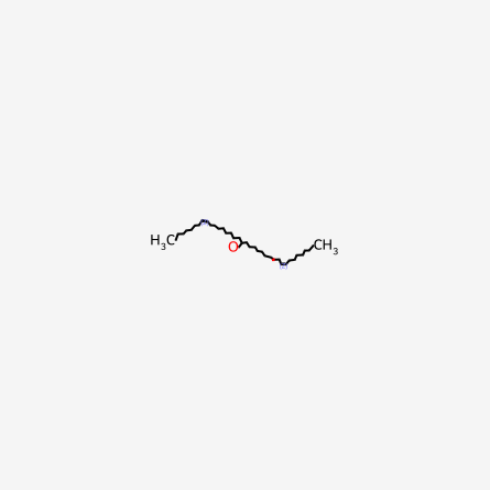 CCCCCCCC/C=C\CCCCCCCCCC(C=O)CCCCCCCC/C=C\CCCCCCCC